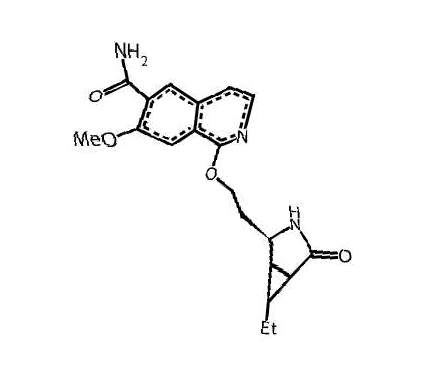 CCC1C2C(=O)N[C@H](CCOc3nccc4cc(C(N)=O)c(OC)cc34)C12